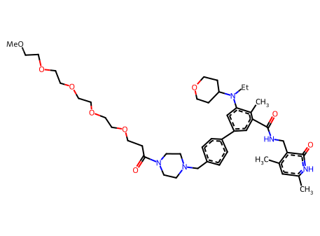 CCN(c1cc(-c2ccc(CN3CCN(C(=O)CCOCCOCCOCCOCCOC)CC3)cc2)cc(C(=O)NCc2c(C)cc(C)[nH]c2=O)c1C)C1CCOCC1